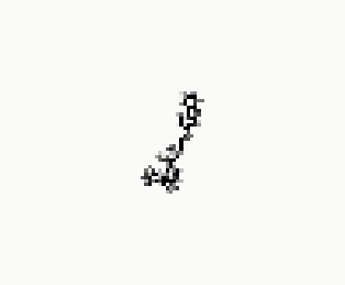 CN(C)S(=O)(=O)Nc1cc(C(O)CNCCOc2ccc3c4c(oc3c2)CCCC4)ccc1O